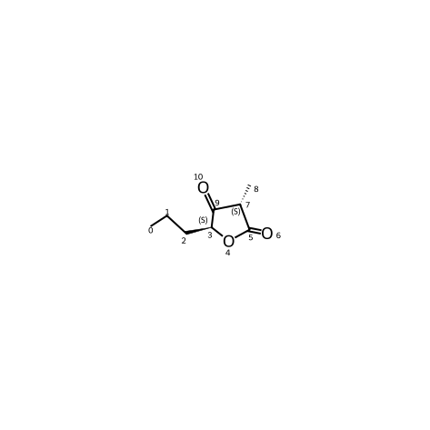 CCC[C@@H]1OC(=O)[C@@H](C)C1=O